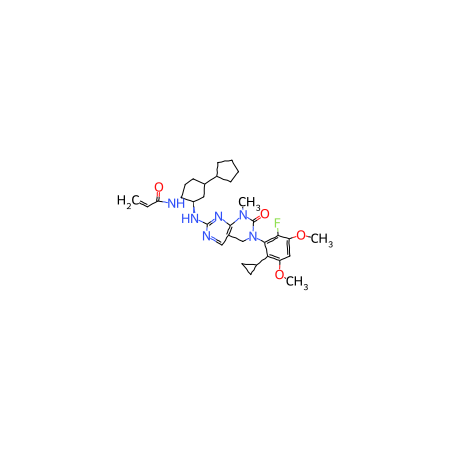 C=CC(=O)N[C@H]1CCC(C2CCCC2)C[C@H]1Nc1ncc2c(n1)N(C)C(=O)N(c1c(F)c(OC)cc(OC)c1C1CC1)C2